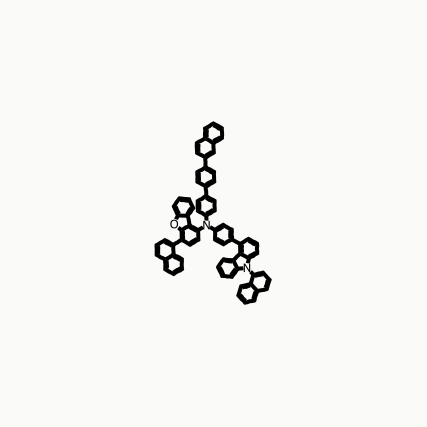 c1ccc2cc(-c3ccc(-c4ccc(N(c5ccc(-c6cccc7c6c6ccccc6n7-c6cccc7ccccc67)cc5)c5ccc(-c6cccc7ccccc67)c6oc7ccccc7c56)cc4)cc3)ccc2c1